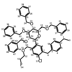 CCc1ccc(Cc2cc([C@@H]3O[C@H](COCc4ccccc4)[C@@H](OCc4ccccc4)[C@H](OCc4ccccc4)[C@H]3OCc3ccccc3)c(COCCF)cc2Cl)cc1